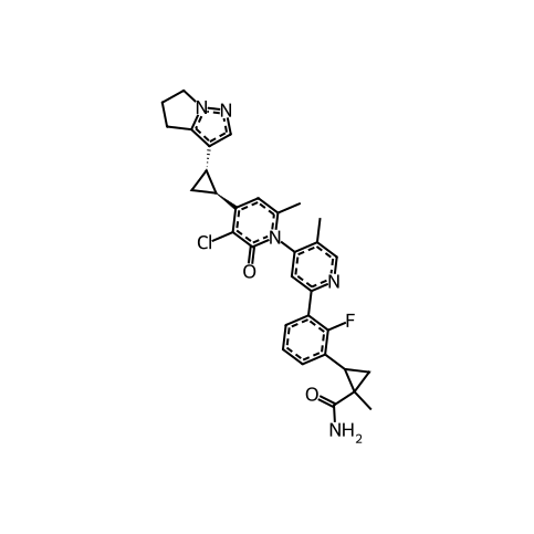 Cc1cnc(-c2cccc(C3CC3(C)C(N)=O)c2F)cc1-n1c(C)cc([C@H]2C[C@@H]2c2cnn3c2CCC3)c(Cl)c1=O